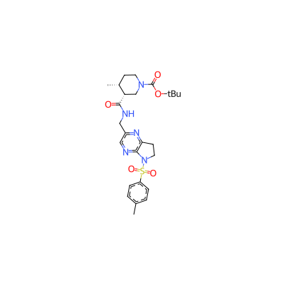 Cc1ccc(S(=O)(=O)N2CCc3nc(CNC(=O)[C@H]4CN(C(=O)OC(C)(C)C)CC[C@H]4C)cnc32)cc1